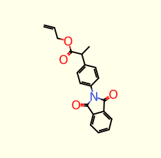 C=CCOC(=O)C(C)c1ccc(N2C(=O)c3ccccc3C2=O)cc1